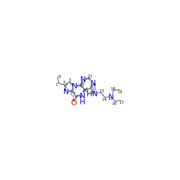 CCc1cn2c(n1)c(=O)[nH]c1c(NCCN(CC)CC)ncnc12